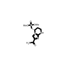 COP(=O)(C[C@@H]1CCNc2nc(C(N)=O)cn21)OC